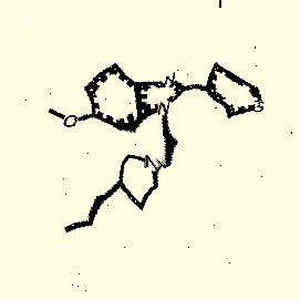 CCCC1CCN(Cn2c(-c3ccsc3)nc3ccc(OC)cc32)C1